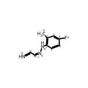 Cc1cc(F)ccc1N/N=C\C=N